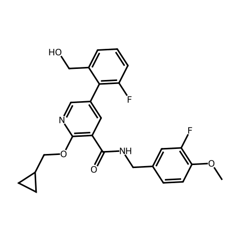 COc1ccc(CNC(=O)c2cc(-c3c(F)cccc3CO)cnc2OCC2CC2)cc1F